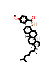 COc1ccc(C(=O)S)c([C@H]2CC[C@@]3(C)C(=CC[C@H]4[C@@H]5CC[C@H]([C@H](C)CCCC(C)C)[C@@]5(C)CC[C@@H]43)C2)c1